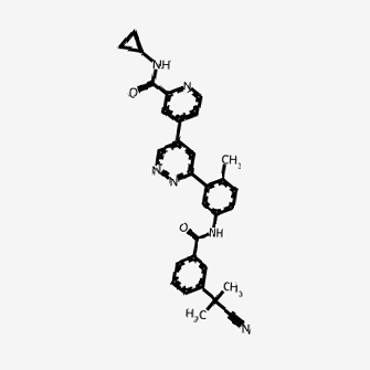 Cc1ccc(NC(=O)c2cccc(C(C)(C)C#N)c2)cc1-c1cc(-c2ccnc(C(=O)NC3CC3)c2)cnn1